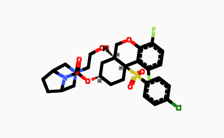 O=C(O[C@H]1CC[C@@]2(S(=O)(=O)c3ccc(Cl)cc3)c3c(F)ccc(F)c3OC[C@@H]2C1)N1C2CCC1CN(CCO)C2